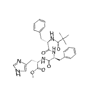 COC(=O)[C@H](Cc1c[nH]cn1)NC(=O)[C@H](Cc1ccccc1)NC(=O)[C@H](Cc1ccccc1)NC(=O)C(C)(C)C